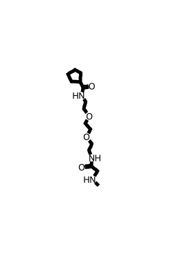 CNCC(=O)NCCOCCOCCNC(=O)C1CCCC1